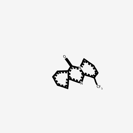 O=c1c2ccccc2nc2c(C(F)(F)F)cccn12